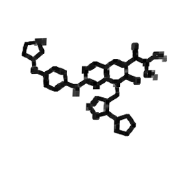 CN(C)C(=O)c1cc2cnc(Nc3ccc(OC4CCNC4)cc3)nc2n(Cc2cnoc2C2=CCCC2)c1=O